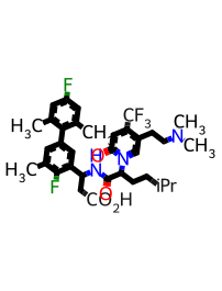 Cc1cc(-c2c(C)cc(F)cc2C)cc(C(CC(=O)O)NC(=O)C(CCC(C)C)n2cc(CCN(C)C)c(C(F)(F)F)cc2=O)c1F